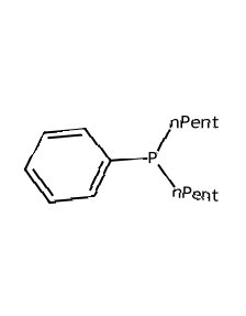 CCCCCP(CCCCC)c1ccccc1